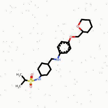 CC(C)S(=O)(=O)NC1CCC(CNc2ccc(OCC3CCCCO3)cc2)CC1